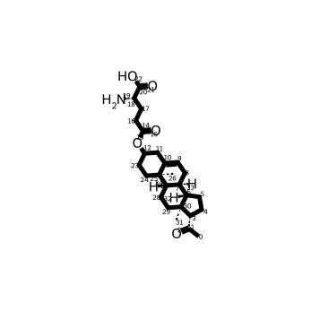 CC(=O)[C@H]1CC[C@H]2[C@@H]3CC=C4CC(OC(=O)CC[C@H](N)C(=O)O)CC[C@]4(C)[C@H]3CC[C@]12C